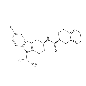 CCC(C(=O)O)n1c2c(c3cc(F)ccc31)C[C@@H](NC(=O)[C@H]1CCc3ccccc3C1)CC2